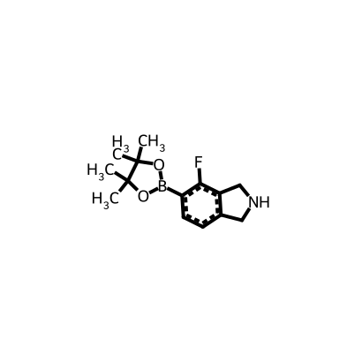 CC1(C)OB(c2ccc3c(c2F)CNC3)OC1(C)C